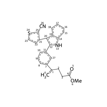 C=C(CCC(=O)OC)c1cccc(-c2[nH]c3ccccc3c2-c2ccsc2C#N)c1